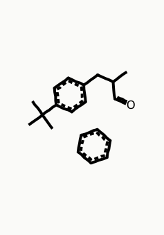 CC(C=O)Cc1ccc(C(C)(C)C)cc1.c1ccccc1